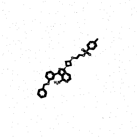 Cc1ccc(S(=O)(=O)OCCO[C@H]2C[C@@H](c3nc(-c4cccc(OCc5ccccc5)c4)c4c(N)nccn43)C2)cc1